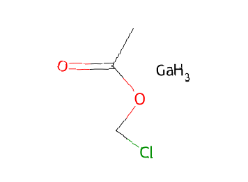 CC(=O)OCCl.[GaH3]